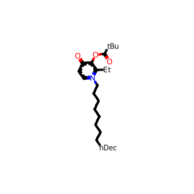 CCCCCCCCCCCCCCCCCCn1ccc(=O)c(OC(=O)C(C)(C)C)c1CC